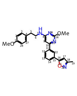 COc1ccc(CCNc2cc(-c3cccc(-c4cc(C)no4)c3)nc(OC)n2)cc1